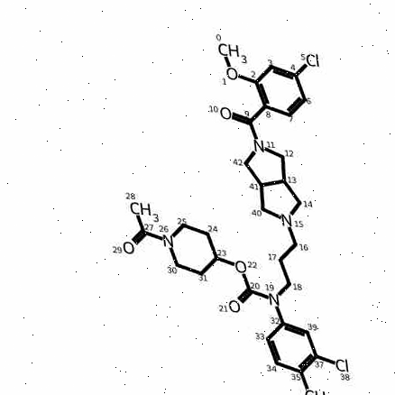 COc1cc(Cl)ccc1C(=O)N1CC2CN(CCCN(C(=O)OC3CCN(C(C)=O)CC3)c3ccc(C)c(Cl)c3)CC2C1